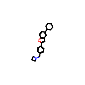 c1cc(-c2cc3cc(C4CCCCC4)ccc3o2)ccc1CN1CCC1